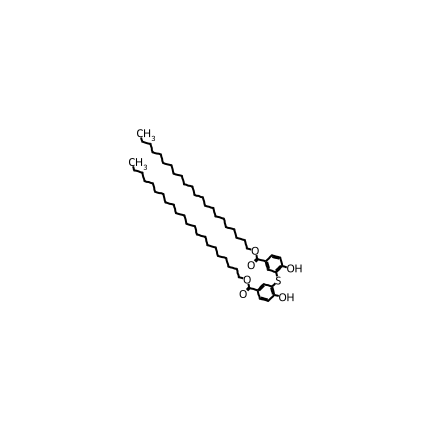 CCCCCCCCCCCCCCCCCCCCCCOC(=O)c1ccc(O)c(Sc2cc(C(=O)OCCCCCCCCCCCCCCCCCCCCCC)ccc2O)c1